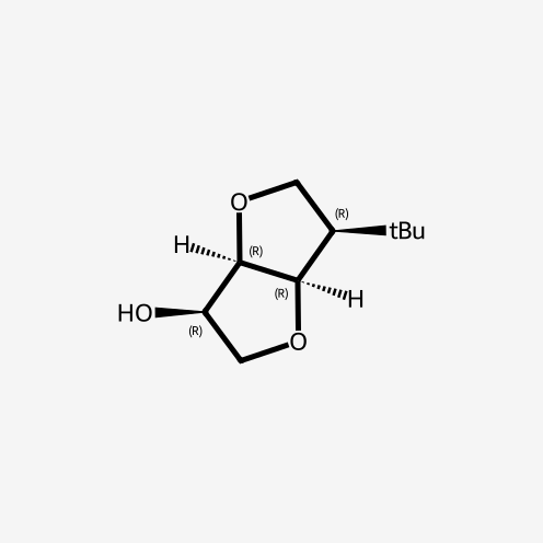 CC(C)(C)[C@@H]1CO[C@H]2[C@@H]1OC[C@H]2O